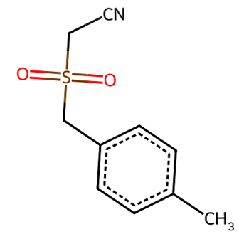 Cc1ccc(CS(=O)(=O)CC#N)cc1